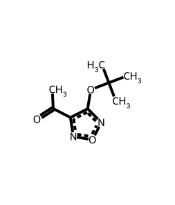 CC(=O)c1nonc1OC(C)(C)C